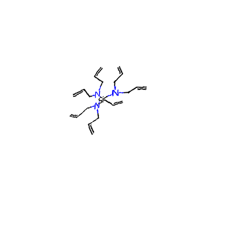 C=CCN(CC=C)[Si](C=C)(N(CC=C)CC=C)N(CC=C)CC=C